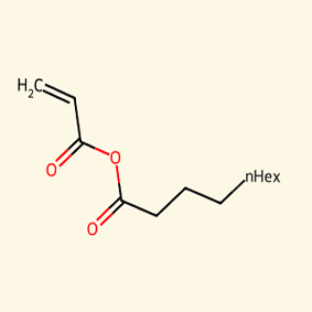 C=CC(=O)OC(=O)CCCCCCCCC